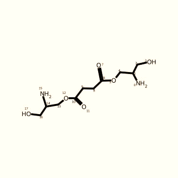 NC(CO)COC(=O)CCC(=O)OCC(N)CO